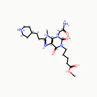 COC(=O)CCCCn1c(=O)c2nc(CCC3CCNCC3)n(C)c2n(CC(N)=O)c1=O